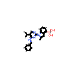 Cc1cc2c(B(O)O)cccc2n1-c1ncc(C(C)C)c(NCc2ccccc2)n1